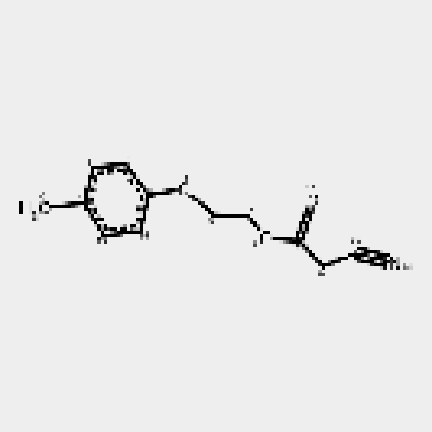 Cc1ccc(OCCOC(=O)CC#N)cc1